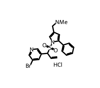 C=CC(c1cncc(Br)c1)S(=O)(=O)n1cc(CNC)cc1-c1ccccc1.Cl